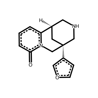 O=c1cccc2n1C[C@]1(c3ccoc3)CNC[C@H]2C1